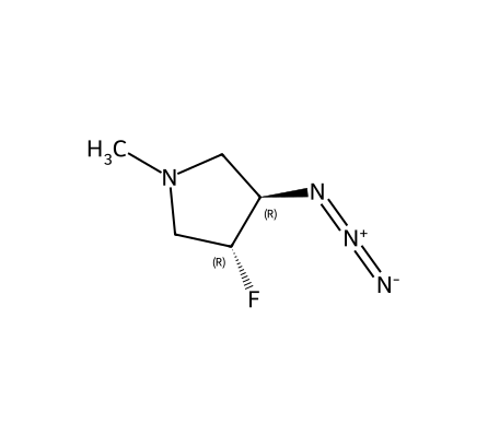 CN1C[C@@H](F)[C@H](N=[N+]=[N-])C1